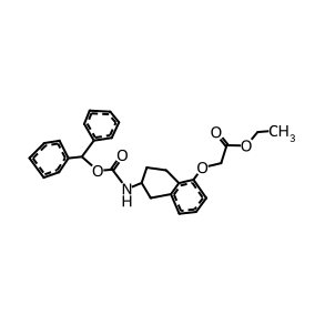 CCOC(=O)COc1cccc2c1CCC(NC(=O)OC(c1ccccc1)c1ccccc1)C2